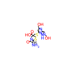 NC1C(=O)N2CC(CSC3=CC(CO)=NC4=CN(CO)NN43)(C(=O)O)CS[C@H]12